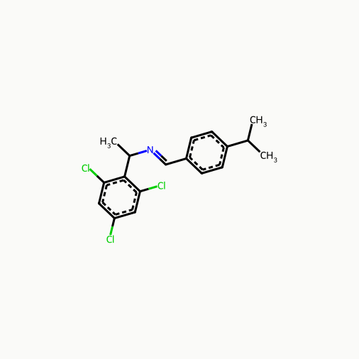 CC(C)c1ccc(C=NC(C)c2c(Cl)cc(Cl)cc2Cl)cc1